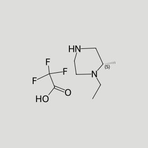 CCN1CCNC[C@@H]1C.O=C(O)C(F)(F)F